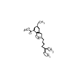 CCc1cc(CCCCCCC(C)C)c(O)c(C(=O)O)c1